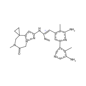 C=N/C(=C\c1cc(-c2cncc(N)c2C)nc(N)c1C)Nc1cc2n(n1)CC(=O)N(C)CC21CC1